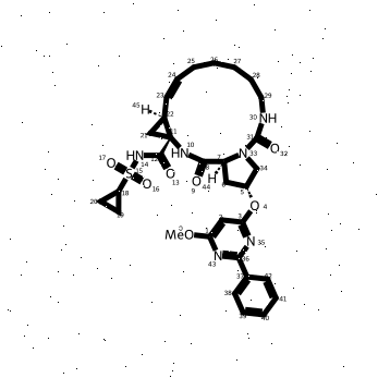 COc1cc(O[C@@H]2C[C@H]3C(=O)N[C@]4(C(=O)NS(=O)(=O)C5CC5)C[C@H]4/C=C\CCCCCNC(=O)N3C2)nc(-c2ccccc2)n1